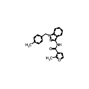 Cc1ccc(Cn2nc(NC(=O)c3ccoc3C)c3ccccc32)cc1